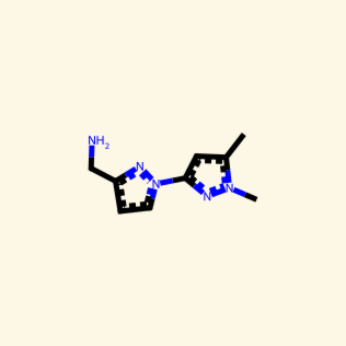 Cc1cc(-n2ccc(CN)n2)nn1C